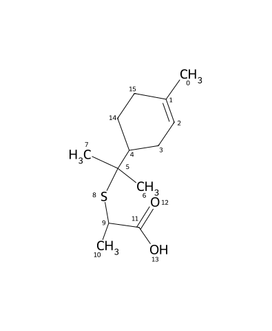 CC1=CCC(C(C)(C)SC(C)C(=O)O)CC1